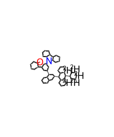 [2H]c1c([2H])c([2H])c(-c2c3ccccc3c(-c3cc(-c4cc(-n5c6ccccc6c6ccccc65)c5oc6ccccc6c5c4)c4ccccc4c3)c3ccccc23)c([2H])c1[2H]